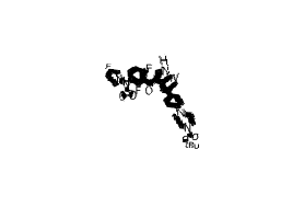 CC(C)(C)OC(=O)N1CCN(c2ccc(-c3cnc4[nH]cc(C(=O)c5c(F)ccc(N(N6CC[C@@H](F)C6)[SH](=O)=O)c5F)c4c3)cc2)CC1